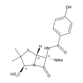 CN[C@]1(NC(=O)c2ccc(O)cc2)C(=O)N2[C@@H](C(=O)O)C(C)(C)S[C@@H]21